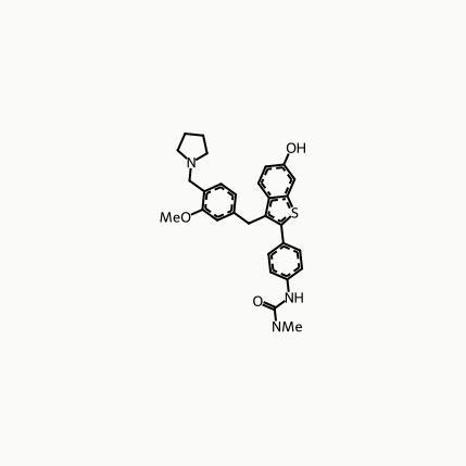 CNC(=O)Nc1ccc(-c2sc3cc(O)ccc3c2Cc2ccc(CN3CCCC3)c(OC)c2)cc1